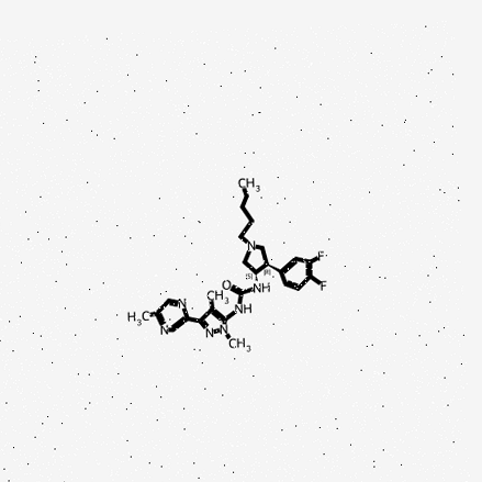 CCCCCN1C[C@@H](NC(=O)Nc2c(C)c(-c3cnc(C)cn3)nn2C)[C@H](c2ccc(F)c(F)c2)C1